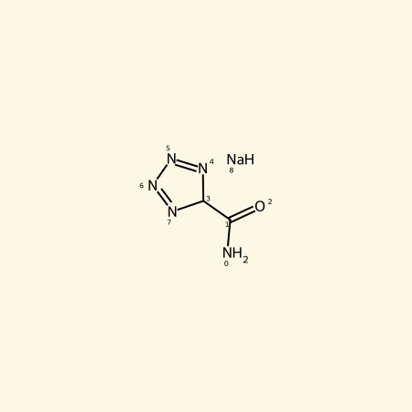 NC(=O)C1N=NN=N1.[NaH]